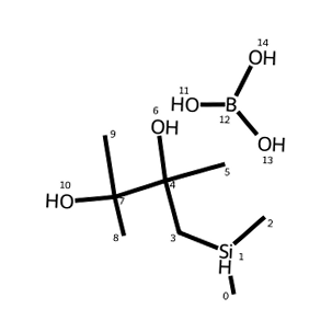 C[SiH](C)CC(C)(O)C(C)(C)O.OB(O)O